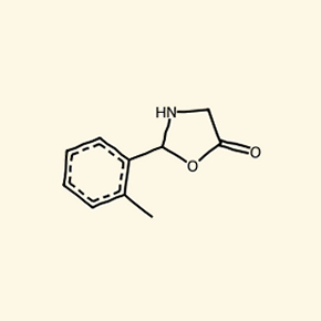 Cc1ccccc1C1NCC(=O)O1